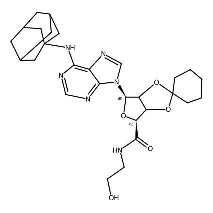 O=C(NCCO)[C@H]1O[C@@H](n2cnc3c(NC45CC6CC(CC(C6)C4)C5)ncnc32)C2OC3(CCCCC3)OC21